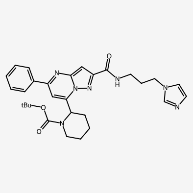 CC(C)(C)OC(=O)N1CCCCC1c1cc(-c2ccccc2)nc2cc(C(=O)NCCCn3ccnc3)nn12